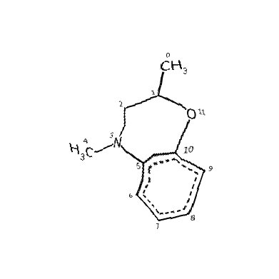 CC1CN(C)c2ccccc2O1